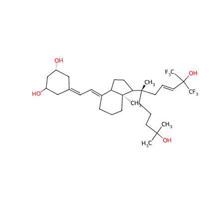 CC(C)(O)CCC[C@@](C)(C/C=C/C(O)(C(F)(F)F)C(F)(F)F)C1CCC2/C(=C/C=C3/CC(O)C[C@H](O)C3)CCC[C@@]21C